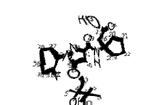 CC(C)(C)[C@](C)(O)COc1cc(C(=O)NC2(CC(=O)O)CCCC2)nn1-c1ccccc1F